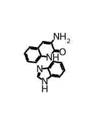 Nc1cc2ccccc2[nH]c1=O.c1ccc2[nH]cnc2c1